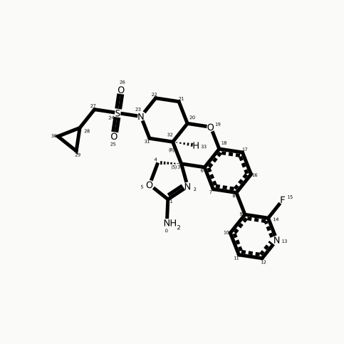 NC1=N[C@]2(CO1)c1cc(-c3cccnc3F)ccc1OC1CCN(S(=O)(=O)CC3CC3)C[C@@H]12